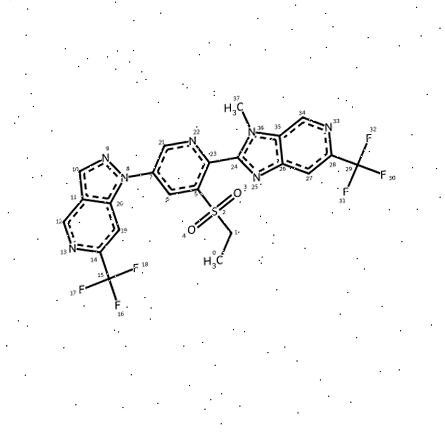 CCS(=O)(=O)c1cc(-n2ncc3cnc(C(F)(F)F)cc32)cnc1-c1nc2cc(C(F)(F)F)ncc2n1C